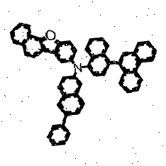 c1ccc(-c2ccc3cc(N(c4ccc5oc6c7ccccc7ccc6c5c4)c4ccc(-c5cc6ccccc6c6ccccc56)c5ccccc45)ccc3c2)cc1